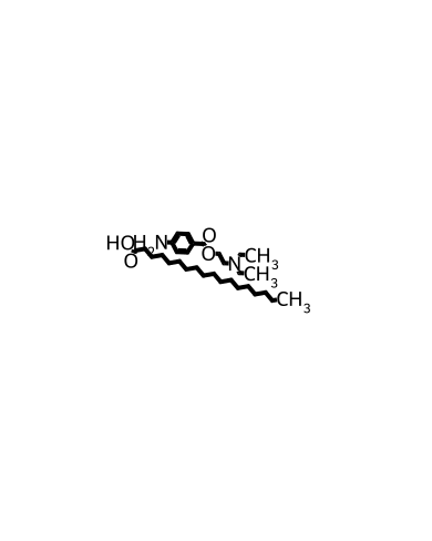 CCCCCCCCCCCCCCCCCC(=O)O.CCN(CC)CCOC(=O)c1ccc(N)cc1